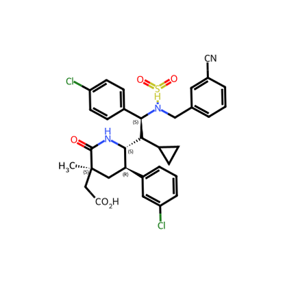 C[C@@]1(CC(=O)O)C[C@H](c2cccc(Cl)c2)[C@@H](C(C2CC2)[C@@H](c2ccc(Cl)cc2)N(Cc2cccc(C#N)c2)[SH](=O)=O)NC1=O